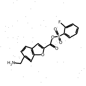 NCc1ccc2cc(C(=O)OS(=O)(=O)c3ccccc3F)oc2c1